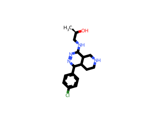 C[C@@H](O)CNC1N=NC(c2ccc(Cl)cc2)C2CCNCC12